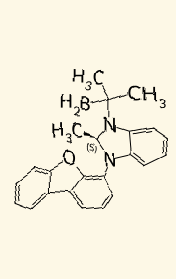 BC(C)(C)N1c2ccccc2N(c2cccc3c2oc2ccccc23)[C@H]1C